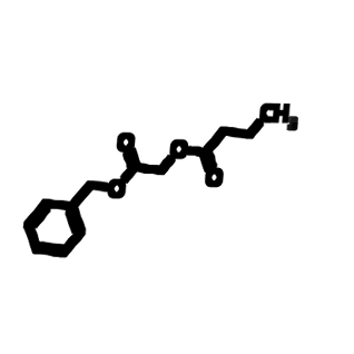 CCCC(=O)OCC(=O)OCc1ccccc1